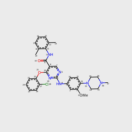 COc1cc(Nc2ncc(C(=O)Nc3c(C)cccc3C)c(Oc3ccccc3Cl)n2)ccc1N1CCN(C)CC1